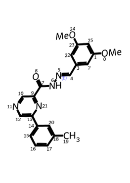 COc1cc(/C=N/NC(=O)c2cncc(-c3cccc(C)c3)n2)cc(OC)c1